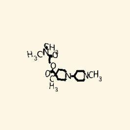 CN1CCC(N2CCC(C)(C(=O)OCC(=O)N(C)C)CC2)CC1